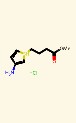 COC(=O)CCC[SH]1C=CC(N)=C1.Cl